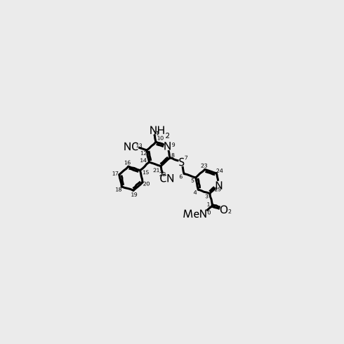 CNC(=O)c1cc(CSc2nc(N)c(C#N)c(-c3ccccc3)c2C#N)ccn1